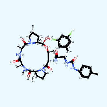 Cc1ccc(NC(=O)N[C@@H](Cc2cc(F)cc(F)c2)C(=O)N[C@@H]2C(=O)N3CCC[C@H]3C(=O)N(C)[C@@H](C)C(=O)N[C@@H](C)C(=O)N3C[C@H](C)C[C@H]3[C@@H](O)O[C@H]2C)cc1